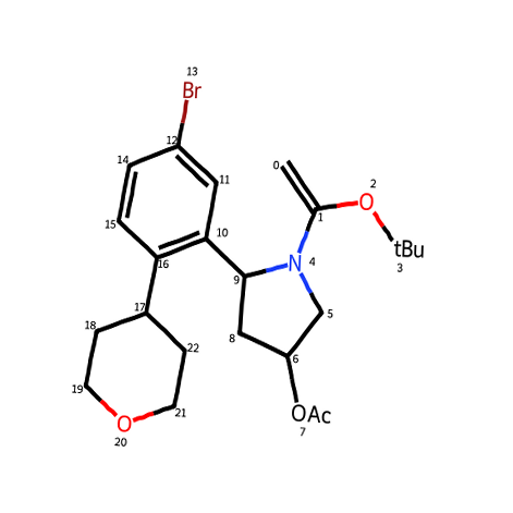 C=C(OC(C)(C)C)N1CC(OC(C)=O)CC1c1cc(Br)ccc1C1CCOCC1